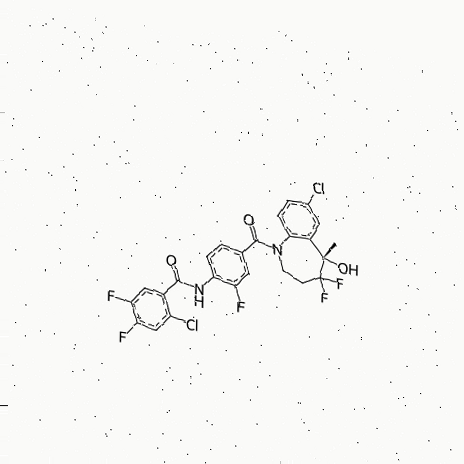 C[C@]1(O)c2cc(Cl)ccc2N(C(=O)c2ccc(NC(=O)c3cc(F)c(F)cc3Cl)c(F)c2)CCC1(F)F